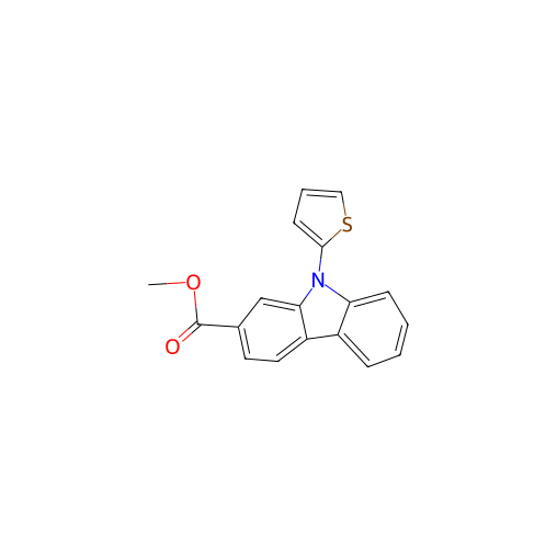 COC(=O)c1ccc2c3ccccc3n(-c3cccs3)c2c1